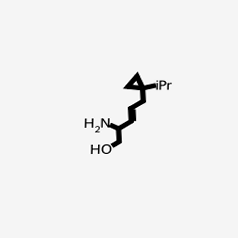 CC(C)C1(CC=CC(N)CO)CC1